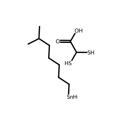 CC(C)CCCC[CH2][SnH].O=C(O)C(S)S